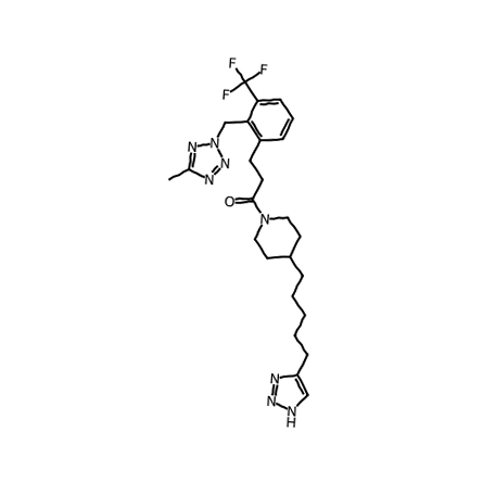 Cc1nnn(Cc2c(CCC(=O)N3CCC(CCCCCc4c[nH]nn4)CC3)cccc2C(F)(F)F)n1